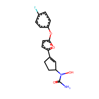 NC(=O)N(O)C1C=C(c2ccc(Oc3ccc(F)cc3)o2)CC1